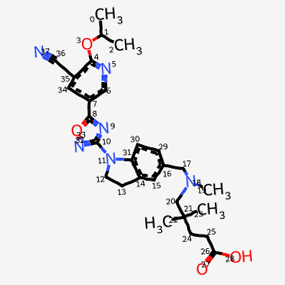 CC(C)Oc1ncc(-c2nc(N3CCc4cc(CN(C)CC(C)(C)CCC(=O)O)ccc43)no2)cc1C#N